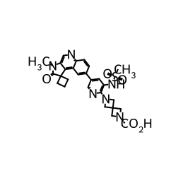 CN1C(=O)C2(CCC2)c2c1cnc1ccc(-c3cnc(N4CC5(CN(C(=O)O)C5)C4)c(NS(C)(=O)=O)c3)cc21